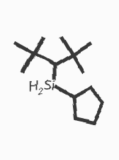 CC(C)(C)C([SiH2]C1CCCC1)C(C)(C)C